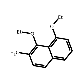 CCOc1cccc2ccc(C)c(OCC)c12